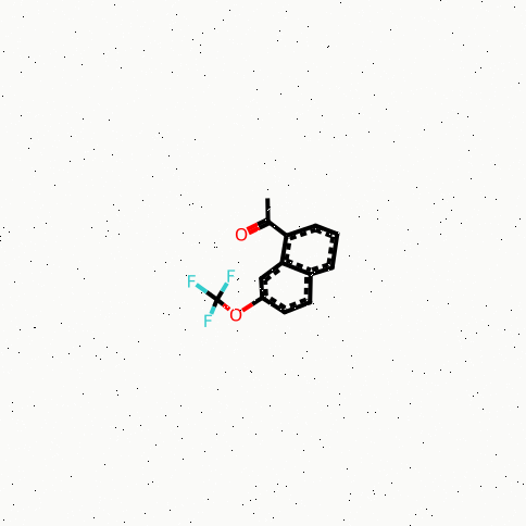 CC(=O)c1cccc2ccc(OC(F)(F)F)cc12